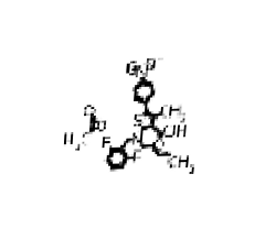 CC1OC1=O.CCCCCN(Cc1c(F)cccc1F)c1sc(-c2ccc([N+](=O)[O-])cc2)c(C)c1C(=O)O